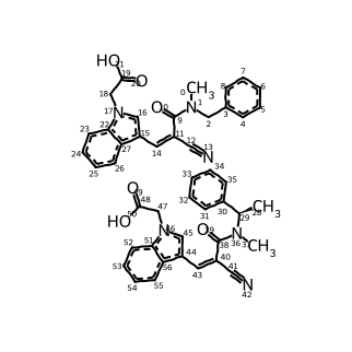 CN(Cc1ccccc1)C(=O)C(C#N)=Cc1cn(CC(=O)O)c2ccccc12.C[C@H](c1ccccc1)N(C)C(=O)C(C#N)=Cc1cn(CC(=O)O)c2ccccc12